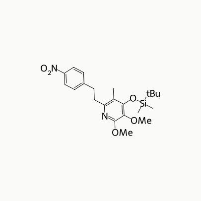 COc1nc(CCc2ccc([N+](=O)[O-])cc2)c(C)c(O[Si](C)(C)C(C)(C)C)c1OC